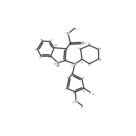 COC(=O)c1c(N(c2ccc(OC)c(F)c2)C2CCCCC2)[nH]c2ccccc12